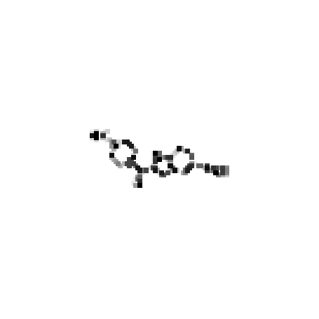 C#CC1=Cc2cc(C(=O)N3CCN(C)CC3)[nH]c2CC1